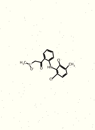 Cc1ccc(Cl)c(Nc2ccccc2C(=O)C[S+](C)[O-])c1Cl